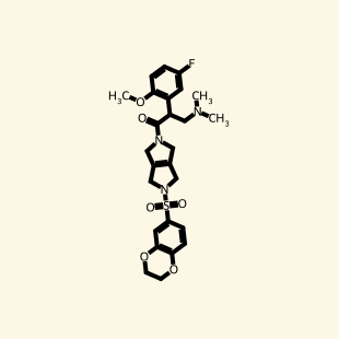 COc1ccc(F)cc1C(CN(C)C)C(=O)N1CC2=C(C1)CN(S(=O)(=O)c1ccc3c(c1)OCCO3)C2